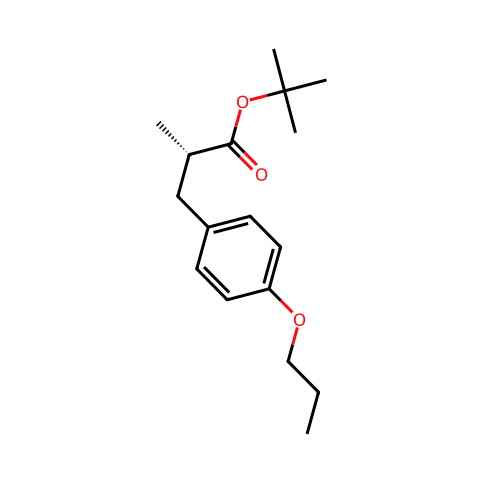 CCCOc1ccc(C[C@H](C)C(=O)OC(C)(C)C)cc1